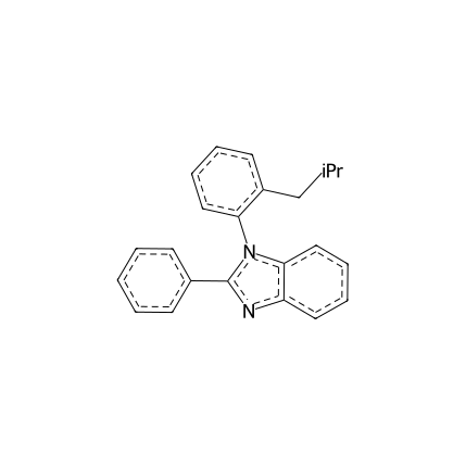 CC(C)Cc1ccccc1-n1c(-c2ccccc2)nc2ccccc21